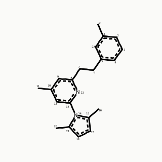 Cc1cccc(CCc2cc(C)cc(-n3c(C)ccc3C)n2)c1